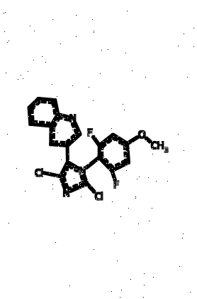 COc1cc(F)c(-n2c(Cl)nc(Cl)c2-c2cnc3ccccc3c2)c(F)c1